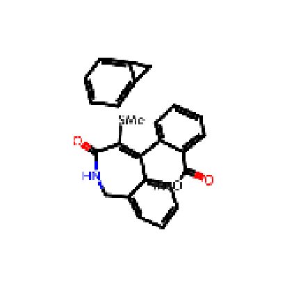 COC(=O)c1ccccc1C1=C(SC)C(=O)NCc2ccccc21.c1ccc2c(c1)C2